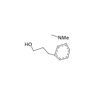 CNC.OCCCc1ccccc1